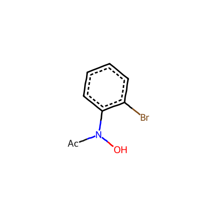 CC(=O)N(O)c1ccccc1Br